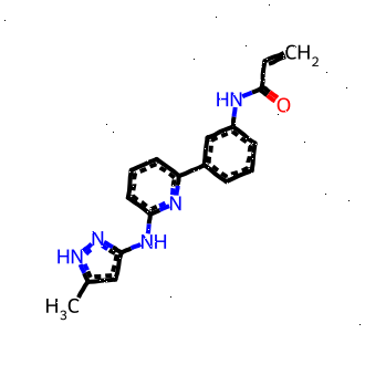 C=CC(=O)Nc1cccc(-c2cccc(Nc3cc(C)[nH]n3)n2)c1